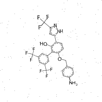 Nc1ccc(COc2ccc(-c3cc(C(F)(F)F)n[nH]3)c(O)c2-c2cc(C(F)(F)F)cc(C(F)(F)F)c2)cc1